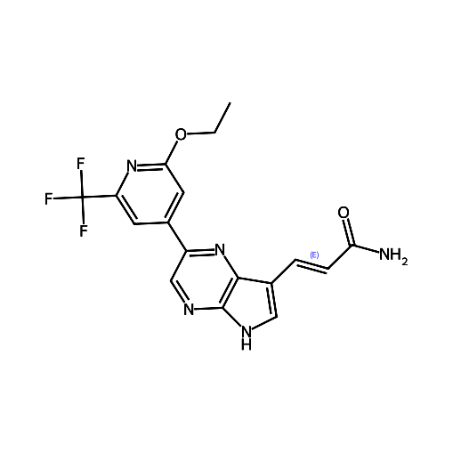 CCOc1cc(-c2cnc3[nH]cc(/C=C/C(N)=O)c3n2)cc(C(F)(F)F)n1